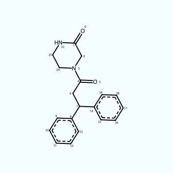 O=C1CN(C(=O)CC(c2ccccc2)c2ccccc2)CCN1